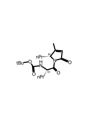 CCC[C@H](NC(=O)OC(C)(C)C)C(=O)N1C(=O)C=C(C)[C@H]1CCC